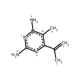 C=C(C)c1nc(N)nc(N)c1C